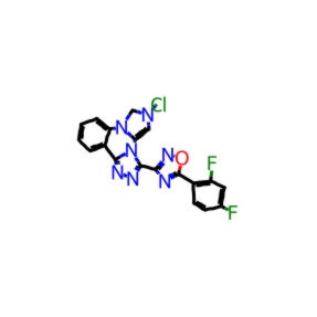 Fc1ccc(-c2nc(-c3nnc4n3C3=CN(Cl)CN3c3ccccc3-4)no2)c(F)c1